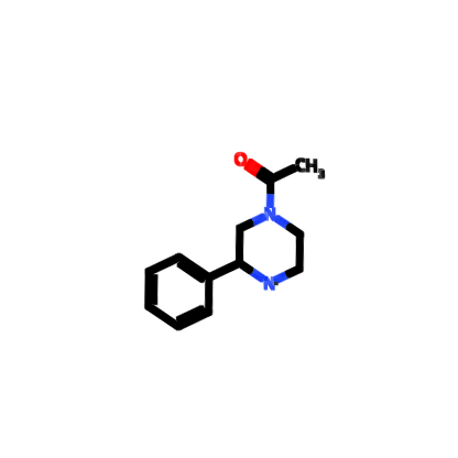 CC(=O)N1CC[N]C(c2ccccc2)C1